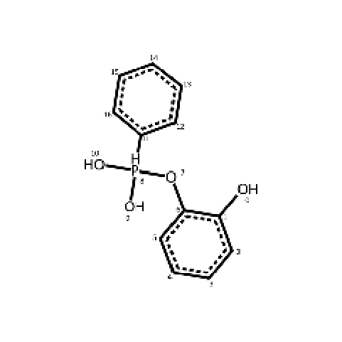 Oc1ccccc1O[PH](O)(O)c1ccccc1